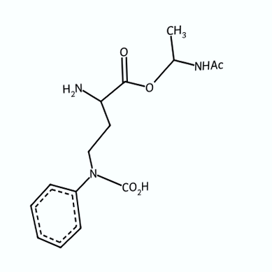 CC(=O)NC(C)OC(=O)C(N)CCN(C(=O)O)c1ccccc1